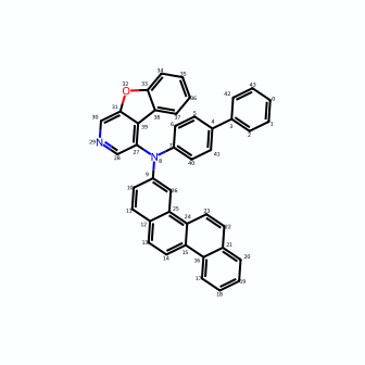 c1ccc(-c2ccc(N(c3ccc4ccc5c6ccccc6ccc5c4c3)c3cncc4oc5ccccc5c34)cc2)cc1